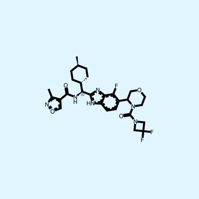 Cc1nocc1C(=O)N[C@H](c1nc2c(F)c(C3COCCN3C(=O)N3CC(F)(F)C3)ccc2[nH]1)[C@H]1CC[C@H](C)CC1